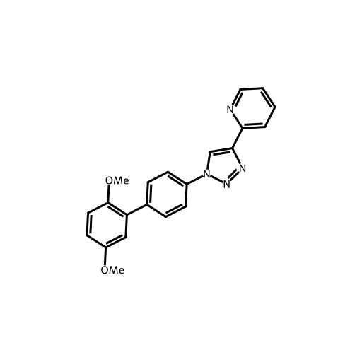 COc1ccc(OC)c(-c2ccc(-n3cc(-c4ccccn4)nn3)cc2)c1